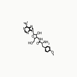 COc1ccc(C[C@H](N)C(=O)NC2C(CO)OC(n3cnc4c(N(C)C)ncnc43)C2O)cc1